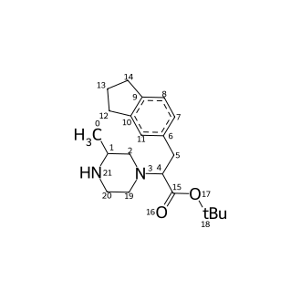 CC1CN(C(Cc2ccc3c(c2)CCC3)C(=O)OC(C)(C)C)CCN1